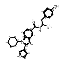 O=C(NC(Cc1ccc(O)cc1)C(F)(F)F)c1ccc2c(c1)nc(-c1ccoc1)n2C1CCCCC1